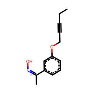 CCC#CCOc1cccc(/C(C)=N\O)c1